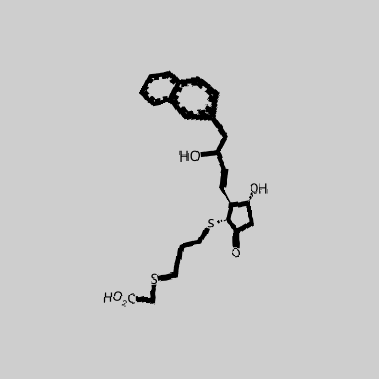 O=C(O)CSCCCS[C@H]1C(=O)C[C@@H](O)[C@@H]1/C=C/C(O)Cc1ccc2ccccc2c1